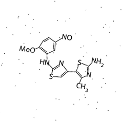 COc1ccc(N=O)cc1Nc1nc(-c2sc(N)nc2C)cs1